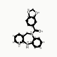 O=C(c1ccc2c(c1)OCO2)N1Cc2cccnc2Nc2ccccc21